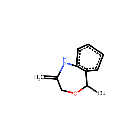 C=C1COC(C(C)(C)C)c2ccccc2N1